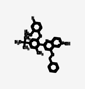 COc1cc(F)ccc1Oc1cc(C(C)(C)C)cc(C)c1-c1cc(OCc2ccccc2)c2c[n+](O)ccc2n1